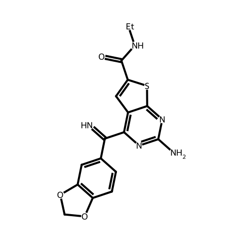 CCNC(=O)c1cc2c(C(=N)c3ccc4c(c3)OCO4)nc(N)nc2s1